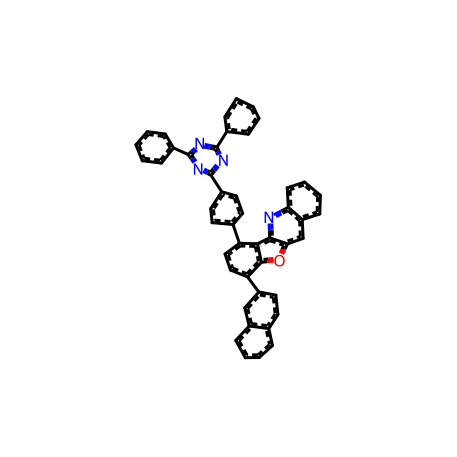 c1ccc(-c2nc(-c3ccccc3)nc(-c3ccc(-c4ccc(-c5ccc6ccccc6c5)c5oc6cc7ccccc7nc6c45)cc3)n2)cc1